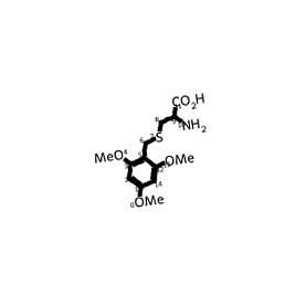 COc1cc(OC)c(CSCC(N)C(=O)O)c(OC)c1